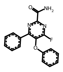 NC(=O)c1nc(F)c(Oc2ccccc2)c(-c2ccccc2)n1